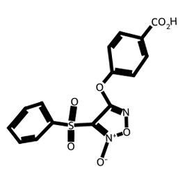 O=C(O)c1ccc(Oc2no[n+]([O-])c2S(=O)(=O)c2ccccc2)cc1